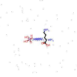 N.N.N.N.NCCC[C@H](N)C(=O)O.O=P(O)(O)O